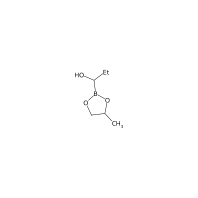 CCC(O)B1OCC(C)O1